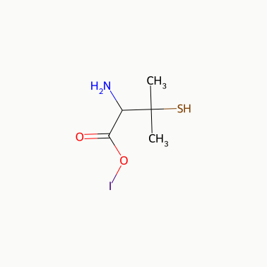 CC(C)(S)C(N)C(=O)OI